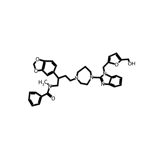 CN(CC(CCN1CCCN(c2nc3ccccc3n2Cc2ccc(CO)o2)CC1)c1ccc2c(c1)OCO2)C(=O)c1ccccc1